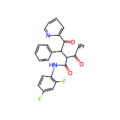 CC(C)C(=O)C(C(=O)Nc1ccc(F)cc1F)C(C(=O)c1ccccn1)c1ccccc1